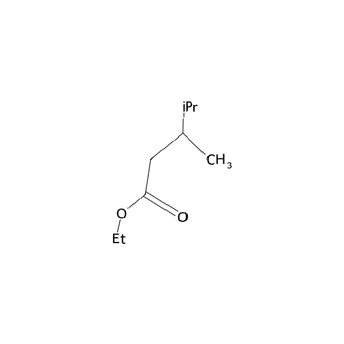 CCOC(=O)CC(C)C(C)C